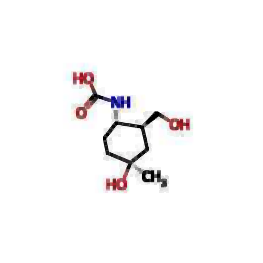 C[C@]1(O)CC[C@H](NC(=O)O)[C@@H](CO)C1